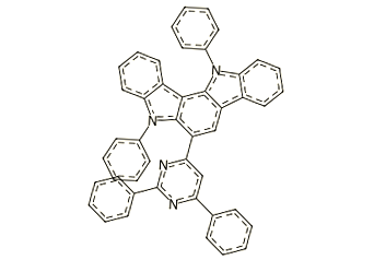 c1ccc(-c2cc(-c3cc4c5ccccc5n(-c5ccccc5)c4c4c5ccccc5n(-c5ccccc5)c34)nc(-c3ccccc3)n2)cc1